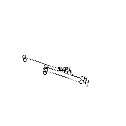 CC(C)[CH2][Sn+3].CCCCCCCCCCCCCCCCCCCCCCCCCC(=O)[O-].CCCCCCCCCCCCCCCCCCCCCCCCCC(=O)[O-].CCCCCCCCCCCCCCCCCCCCCCCCCC(=O)[O-]